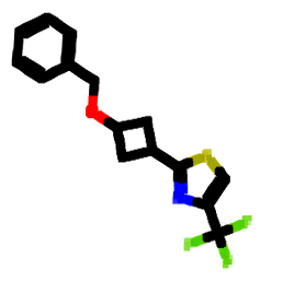 FC(F)(F)c1csc(C2CC(OCc3ccccc3)C2)n1